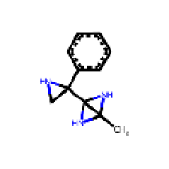 CC12NC1(C1(c3ccccc3)CN1)N2